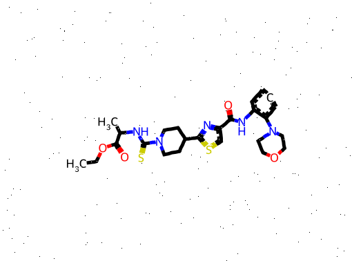 CCOC(=O)C(C)NC(=S)N1CCC(c2nc(C(=O)Nc3ccccc3N3CCOCC3)cs2)CC1